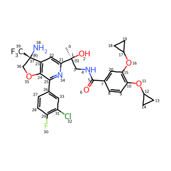 C[C@](O)(CNC(=O)c1ccc(OC2CC2)c(OC2CC2)c1)c1cc2c(c(-c3ccc(F)c(Cl)c3)n1)OC[C@@]2(N)C(F)(F)F